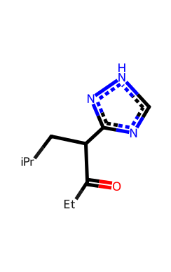 CCC(=O)C(CC(C)C)c1nc[nH]n1